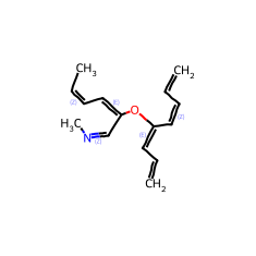 C=C/C=C\C(=C/C=C)OC(/C=N\C)=C/C=C\C